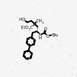 CCOC(=O)[C@](C)(CCO)C[C@@H](Cc1ccc(-c2ccccc2)cc1)NC(=O)OC(C)(C)C